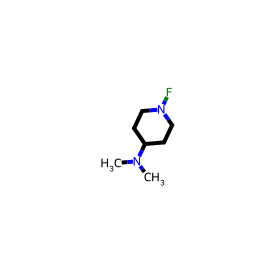 CN(C)C1CCN(F)CC1